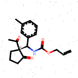 C=CCOC(=O)NC(c1cccc(C)c1)[C@]1(C(C)=O)CCCC1=O